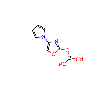 OB(O)Oc1nc(-n2cccc2)co1